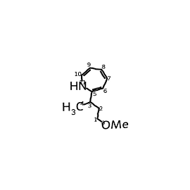 COCCC(C)C1=CC=CC=CN1